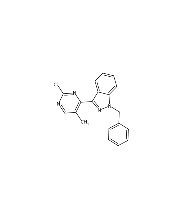 Cc1cnc(Cl)nc1-c1nn(Cc2ccccc2)c2ccccc12